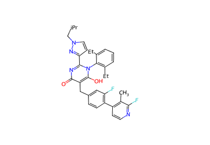 CCc1cccc(CC)c1-n1c(-c2ccn(CC(C)C)n2)nc(=O)c(Cc2ccc(-c3ccnc(F)c3C)c(F)c2)c1O